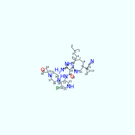 CC(C)CCC1(C)CCC(C2(C#N)CC2)/C=N\C(C(C(=O)NC2CNCC(F)C2N2CCN(C3COC3)CC2)C(N)N)C1